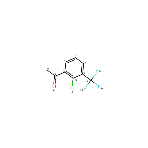 [CH2]C(=O)c1cccc(C(F)(F)F)c1Cl